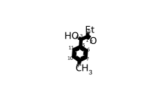 CCC(=O)C(O)c1ccc(C)cc1